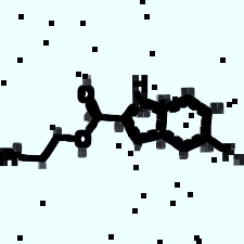 CC(C)CCOC(=O)c1cc2cc(F)ccc2[nH]1